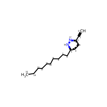 C#Cc1ccc(CCCCCCCCCC)nn1